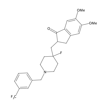 COc1cc2c(cc1OC)C(=O)C(CC1(F)CCN(Cc3cccc(C(F)(F)F)c3)CC1)C2